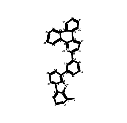 Cc1cccc2c1sc1c(-c3cccc(-c4ccc5c6ccccc6c6ccccc6c5n4)c3)cccc12